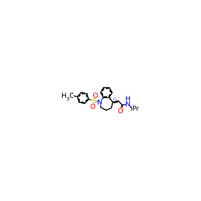 Cc1ccc(S(=O)(=O)N2CCC/C(=C\C(=O)NC(C)C)c3ccccc32)cc1